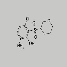 Nc1ccc(Cl)c(S(=O)(=O)C2CCCOC2)c1O